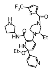 CCOC1(c2cccnc2)C=CC(N2CCN(C(=O)c3ccc(C(F)(F)F)s3)C[C@H]2CC)=C(C(=O)N[C@@H]2CCNC2)N1